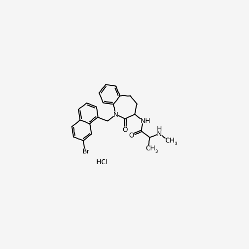 CNC(C)C(=O)NC1CCc2ccccc2N(Cc2cccc3ccc(Br)cc23)C1=O.Cl